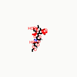 CCC(=O)OC(CC(=O)O)C(OC)[C@H](C(CC(OC)OC)CC(C)C(C=O)OC(C)=O)[C@@H]1O[C@H](C)[C@@H](O[C@@H]2C[C@@](C)(O)[C@@H](OC(=O)CC)[C@H](C)O2)[C@H](N(C)C)[C@H]1OC(C)=O